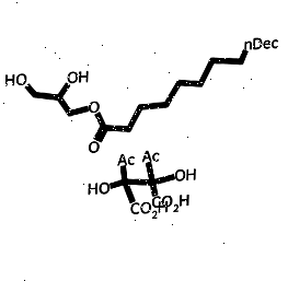 CC(=O)C(O)(C(=O)O)C(O)(C(C)=O)C(=O)O.CCCCCCCCCCCCCCCCCC(=O)OCC(O)CO